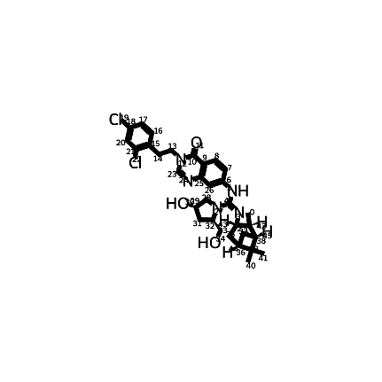 C[C@@H]1[C@@H](/N=C(/Nc2ccc3c(=O)n(CCc4ccc(Cl)cc4Cl)cnc3c2)N2C[C@H](O)C[C@@H]2CO)C[C@@H]2C[C@H]1C2(C)C